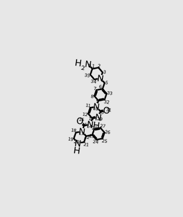 NC1CCN(Cc2ccc(-n3ccc(NC(=O)N4CCNCC4c4ccccc4)nc3=O)cc2)CC1